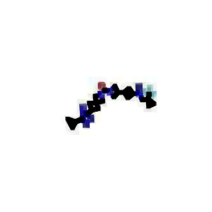 O=C(N1CC(C23CC(NCC4(C(F)(F)F)CC4)(C2)C3)C1)N1CC2(CC(c3nnc(C4CC4)[nH]3)C2)C1